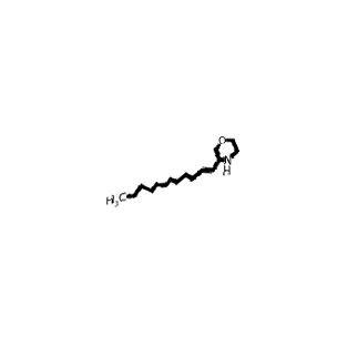 CCCCCCCCCCCCC1COCCN1